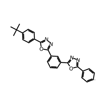 CC(C)(C)c1ccc(-c2nnc(-c3cccc(-c4nnc(-c5cc[c]cc5)o4)c3)o2)cc1